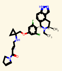 C[C@@H]1Cc2c(ccc3[nH]ncc23)[C@@H](c2c(F)cc(OCC3(NC/C=C/C(=O)N4C=CCC4)CC3)cc2F)N1CC(F)(F)F